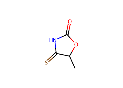 CC1OC(=O)NC1=S